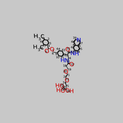 Cc1ccc(C(=O)OCc2ccc(C(CNC(=O)CCOCCOCC[Si](O)(O)O)C(=O)Nc3ccc4cnccc4c3)cc2)c(C)c1